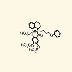 O=C(O)Oc1cc(OC(=O)O)c(C(=O)N[C@]2(CCCCOc3ccccc3)CCCc3ccccc32)cc1OC(=O)O